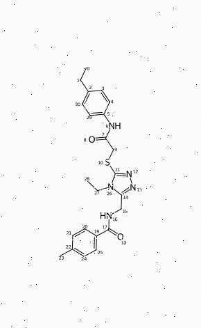 CCc1ccc(NC(=O)CSc2nnc(CNC(=O)c3ccc(C)cc3)n2CC)cc1